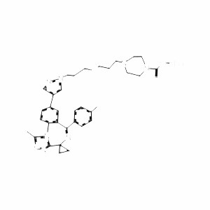 Cc1nnc2n1-c1ccc(-c3cnn(CCCOCCCN4CCN(C(=O)OC(C)(C)C)CC4)c3)cc1C(c1ccc(Cl)cc1)=NC21CC1